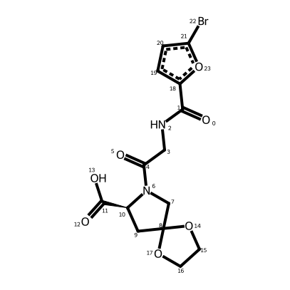 O=C(NCC(=O)N1CC2(C[C@H]1C(=O)O)OCCO2)c1ccc(Br)o1